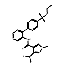 CCOC(C)(C)c1ccc(-c2ccccc2NC(=O)c2cn(C)nc2C(F)F)cc1